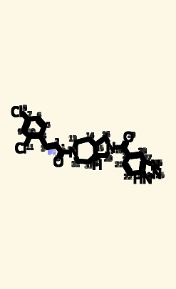 O=C(/C=C/c1ccc(Cl)cc1Cl)N1CCC2CN(C(=O)c3ccc4[nH]nnc4c3)C[C@H]2CC1